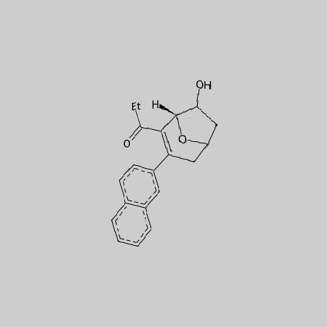 CCC(=O)C1=C(c2ccc3ccccc3c2)CC2CC(O)[C@@H]1O2